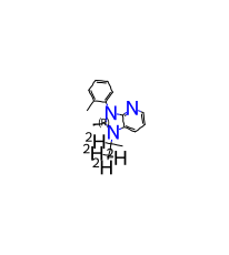 [2H]C([2H])([2H])C([2H])(C)N1c2cccnc2N(c2ccccc2C)[C@@H]1C